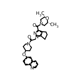 C[C@@H]1CN(C(=O)c2nn(CC(=O)N3CCC(Oc4ccc5ncccc5c4)CC3)c3c2CCC3)C[C@H](C)O1